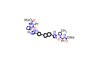 COC(=O)N[C@H](C(=O)N1C[C@@H](C)C[C@H]1c1ncc(-c2ccc3cc(-c4ccc(-c5cnc([C@@H]6[C@H]7CC[C@H](C7)N6C(=O)[C@@H](NC(=O)OC)C(C)C)[nH]5)cc4)ccc3c2)[nH]1)C(C)C